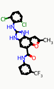 Cc1cc2c3c(cc(C(=O)Nc4cccc(C(F)(F)F)c4)c2o1)NC(Nc1c(Cl)cccc1Cl)N3